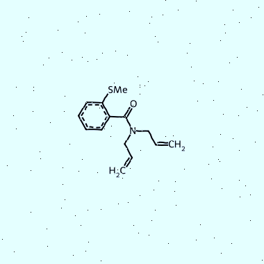 C=CCN(CC=C)C(=O)c1ccccc1SC